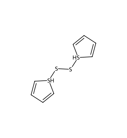 C1=C[SH](SS[SH]2C=CC=C2)C=C1